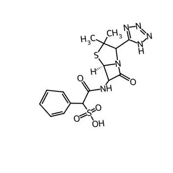 CC1(C)S[C@@H]2C(NC(=O)C(c3ccccc3)S(=O)(=O)O)C(=O)N2C1c1nnn[nH]1